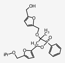 CC(C)OCc1ccc(COP(=O)(c2ccccc2)C(C)(C)OCc2ccc(CO)o2)o1